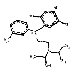 Br.Cc1cccc([C@@H](CCN(C(C)C)C(C)C)c2cc(C)ccc2O)c1